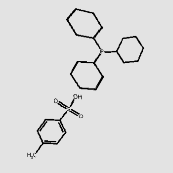 C1CCC(P(C2CCCCC2)C2CCCCC2)CC1.Cc1ccc(S(=O)(=O)O)cc1